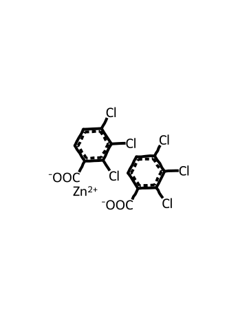 O=C([O-])c1ccc(Cl)c(Cl)c1Cl.O=C([O-])c1ccc(Cl)c(Cl)c1Cl.[Zn+2]